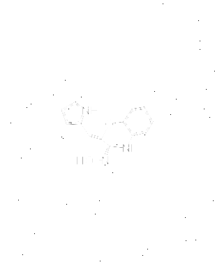 ON=C1Nc2ccccc2OC1=Cc1ccc[nH]1